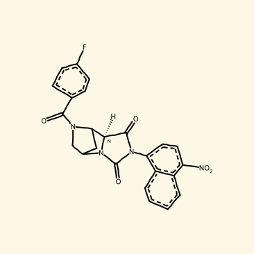 O=C1[C@@H]2C3CC(CN3C(=O)c3ccc(F)cc3)N2C(=O)N1c1ccc([N+](=O)[O-])c2ccccc12